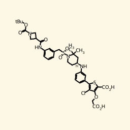 CC(C)(C)OC(=O)N1CC(C(=O)Nc2cccc(CS(=O)(=O)N3CC[C@H](Nc4cccc(-c5sc(C(=O)O)c(OCC(=O)O)c5Cl)c4)CC3(C)C)c2)C1